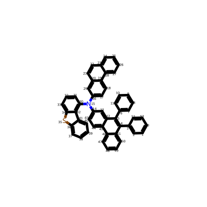 c1ccc(-c2c(-c3ccccc3)c3cc(N(c4ccc5c(ccc6ccccc65)c4)c4cccc5sc6ccccc6c45)ccc3c3ccccc23)cc1